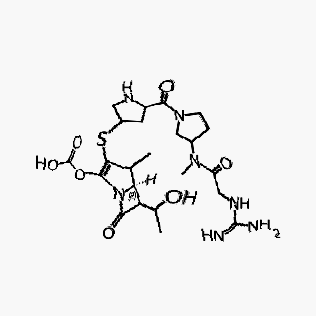 CC(O)C1C(=O)N2C(OC(=O)O)=C(SC3CNC(C(=O)N4CCC(N(C)C(=O)CNC(=N)N)C4)C3)C(C)[C@@H]12